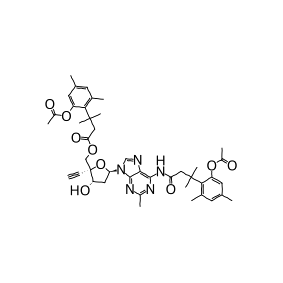 C#C[C@]1(COC(=O)CC(C)(C)c2c(C)cc(C)cc2OC(C)=O)O[C@@H](n2cnc3c(NC(=O)CC(C)(C)c4c(C)cc(C)cc4OC(C)=O)nc(C)nc32)C[C@@H]1O